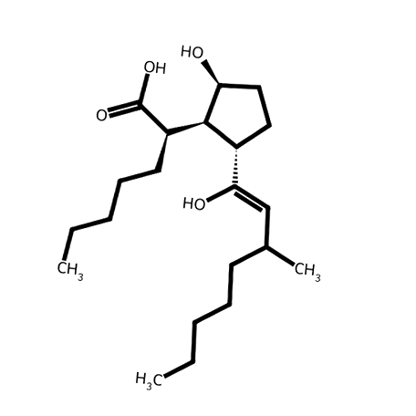 CCCCCC(C)C=C(O)[C@H]1CC[C@H](O)[C@@H]1[C@@H](CCCCC)C(=O)O